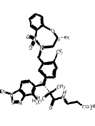 CC[C@@H]1CN(Cc2cc([C@@H](c3ccc4c(nnn4CC)c3C)C(C)(C)C(=O)NCCC(=O)O)ccc2C)S(=O)(=O)c2ccccc2O1